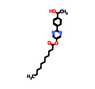 CCCCCCCCCCC(=O)Oc1cnc(-c2ccc(C(C)O)cc2)nc1